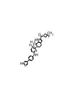 CC1(F)CN(C(=O)c2cc3c([nH]2)C(C)(C)N(c2nccc(Nc4ccc(-c5cn[nH]c5)cc4)n2)CC3)C1